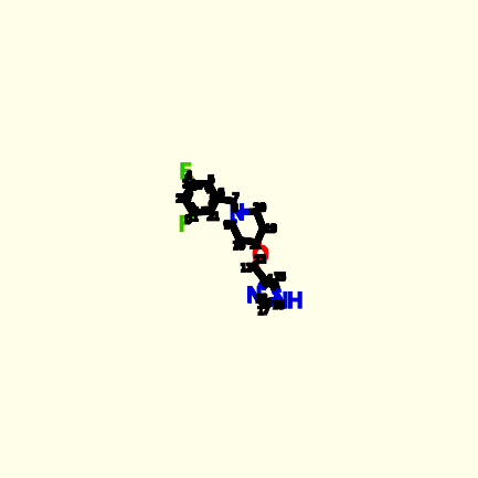 Fc1cc(F)cc(CN2CCC(OCc3c[nH]cn3)CC2)c1